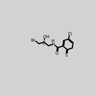 O=C(NC[C@H](O)CBr)C1=CC(Cl)=CCC1=S